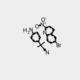 CC(C)(C#N)c1ccc(N)cc1.O=[N+]([O-])c1ccc2cc(Br)ccc2n1